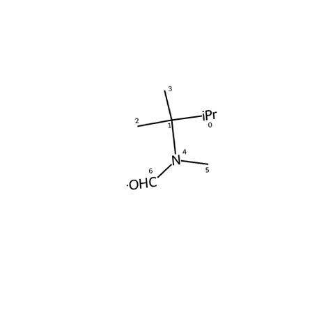 CC(C)C(C)(C)N(C)[C]=O